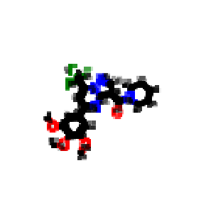 COc1cc(-c2cc(C(F)(F)F)n3ncc(C(=O)N4CCCCC4)c3n2)cc(OC)c1OC